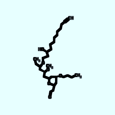 C#CCCCCCCCC[C@H](O)CCOC(CC)C[C@H](CC1C[C@H](OCCCC)CC(CC=O)O1)OC